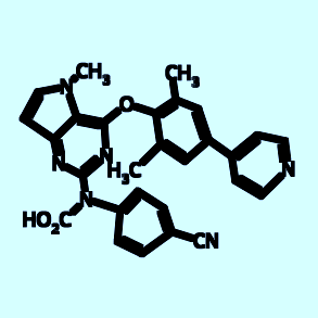 Cc1cc(-c2ccncc2)cc(C)c1Oc1nc(N(C(=O)O)c2ccc(C#N)cc2)nc2ccn(C)c12